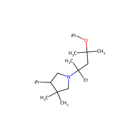 CCC(C)(CC(C)(C)OC(C)C)N1CC(C(C)C)C(C)(C)C1